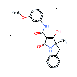 CCCCCOc1cccc(NC(=O)C2=C(O)C(C)(Cc3ccccc3)NC2=O)c1